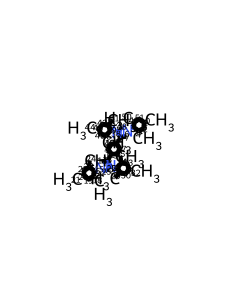 Cc1cc(C)c(N2C=C(c3ccc(C4=CN(c5c(C)cc(C)cc5C)CN4c4c(C)cc(C)cc4C)cc3)N(c3c(C)cc(C)cc3C)C2)c(C)c1